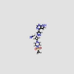 N#CC[C@]1(n2cc(-c3ncnc4[nH]ccc34)cn2)C[C@H](N2CCN(S(=O)(=O)C3CC3)CC2)C1